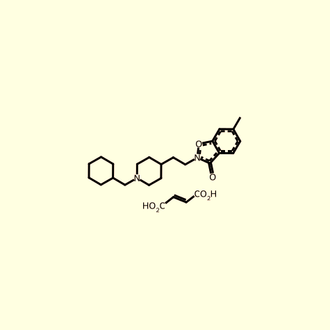 Cc1ccc2c(=O)n(CCC3CCN(CC4CCCCC4)CC3)oc2c1.O=C(O)/C=C/C(=O)O